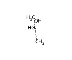 CCCCCCCCCCCC(O)CCCCC(O)CCC